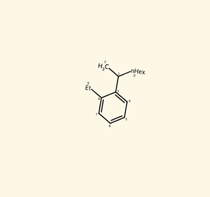 CCCCCCC(C)c1ccccc1CC